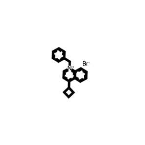 [Br-].c1ccc(C[n+]2ccc(C3CCC3)c3ccccc32)cc1